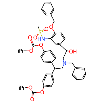 CC(C)OC(=O)Oc1ccc(C(CN(Cc2ccccc2)CC(O)c2ccc(OCc3ccccc3)c(NS(C)(=O)=O)c2)c2ccc(OC(=O)OC(C)C)cc2)cc1